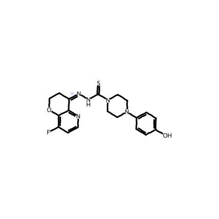 Oc1ccc(N2CCN(C(=S)N/N=C3/CCOc4c(F)ccnc43)CC2)cc1